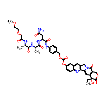 CC[C@@]1(O)C(=O)OCc2c1cc1n(c2=O)Cc2cc3cc(OC(=O)OCc4ccc(NC(=O)[C@H](CC(N)=O)NC(=O)[C@H](C)NC(=O)[C@H](C)NC(=O)COCCOC)cc4)ccc3nc2-1